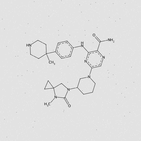 CN1C(=O)N(C2CCCN(c3cnc(C(N)=O)c(Nc4ccc(C5(C)CCNCC5)cc4)n3)C2)CC12CC2